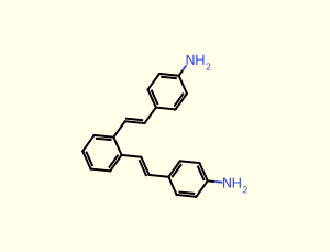 Nc1ccc(C=Cc2ccccc2C=Cc2ccc(N)cc2)cc1